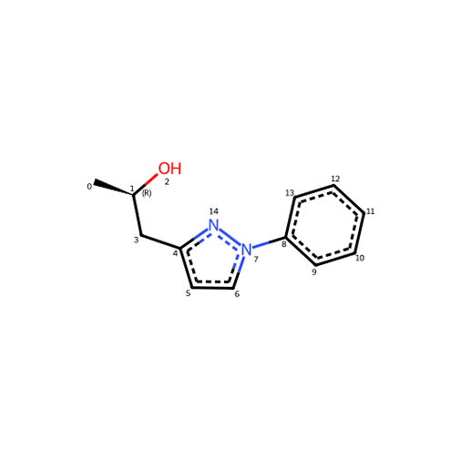 C[C@@H](O)Cc1ccn(-c2ccccc2)n1